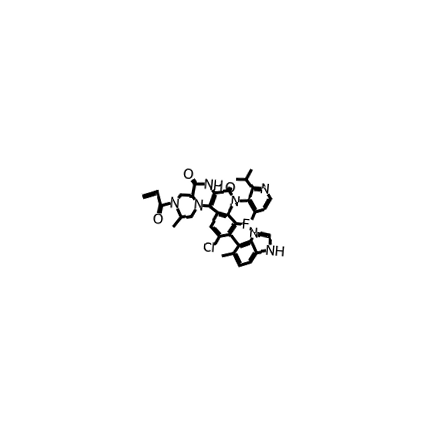 C=CC(=O)N1CC2C(=O)Nc3c(c4cc(Cl)c(-c5c(C)ccc6[nH]cnc56)c(F)c4n(-c4c(C)ccnc4C(C)C)c3=O)N2CC1C